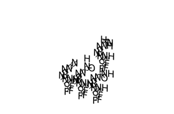 Cc1nc(N[C@H](C)c2cccc(C(F)F)c2F)c2cc(N3CC4(CCNC4=O)C3)ncc2n1.Cc1nc(N[C@H](C)c2cccc(C(F)F)c2F)c2cc(N3CC4(CNC(=O)C4)C3)ncc2n1.Cc1nc(N[C@H](C)c2cccc(C(F)F)c2F)c2cc(N3CC4CN(C)CC4C3)ncc2n1.Cc1nc(N[C@H](C)c2cccc(C(F)F)c2F)c2cc(N3C[C@@H]4CCN(C)[C@@H]4C3)ncc2n1